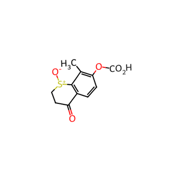 Cc1c(OC(=O)O)ccc2c1[S+]([O-])CCC2=O